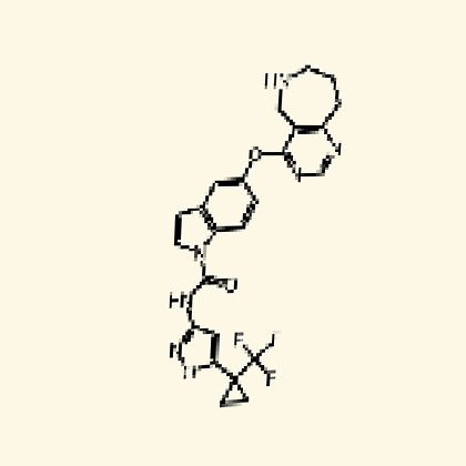 O=C(Nc1cc(C2(C(F)(F)F)CC2)on1)n1ccc2cc(Oc3ncnc4c3CNCCC4)ccc21